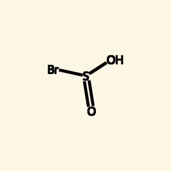 O=S(O)Br